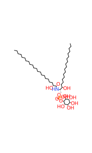 CCCCCCCCCCCCCCCCCCCCC(O)C(=O)N[C@@H](COP(=O)(O)OC1C(O)C(O)C(O)[C@@H](O)C1O)[C@H](O)CCCCCCCCCCCCCCCCC